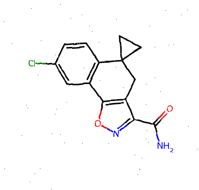 NC(=O)c1noc2c1CC1(CC1)c1ccc(Cl)cc1-2